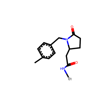 CCNC(=O)CC1CCC(=O)N1Cc1ccc(C)cc1